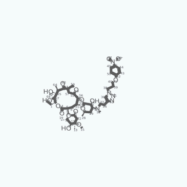 CC[C@H]1OC(=O)[C@H](C)[C@@H](O[C@H]2C[C@@](C)(OC)[C@@H](O)[C@H](C)O2)[C@H](C)[C@@H](O[C@@H]2O[C@H](C)C[C@H](N(C)CCc3cn(CCCOc4ccc([N+](=O)[O-])cc4)nn3)[C@H]2O)[C@@]2(C)C[C@@H](CO2)C(=O)[C@H](C)[C@@H](O)[C@]1(C)O